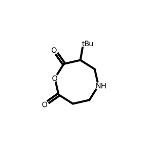 CC(C)(C)C1CNCCC(=O)OC1=O